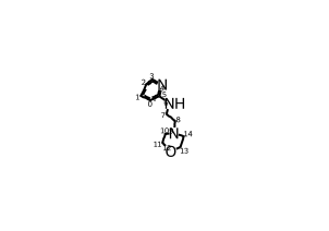 [c]1cccnc1NCCN1CCOCC1